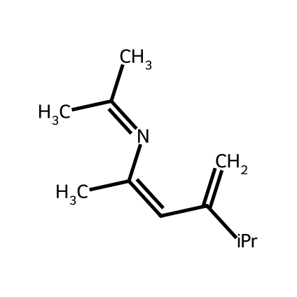 C=C(/C=C(/C)N=C(C)C)C(C)C